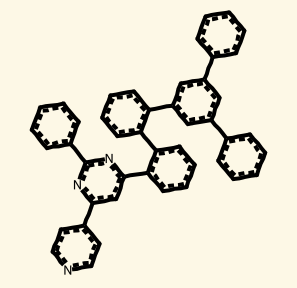 c1ccc(-c2cc(-c3ccccc3)cc(-c3ccccc3-c3ccccc3-c3cc(-c4ccncc4)nc(-c4ccccc4)n3)c2)cc1